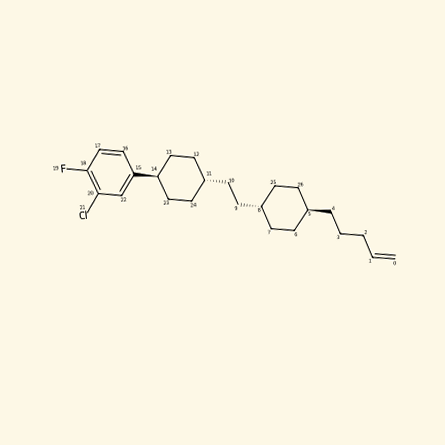 C=CCCC[C@H]1CC[C@H](CC[C@H]2CC[C@H](c3ccc(F)c(Cl)c3)CC2)CC1